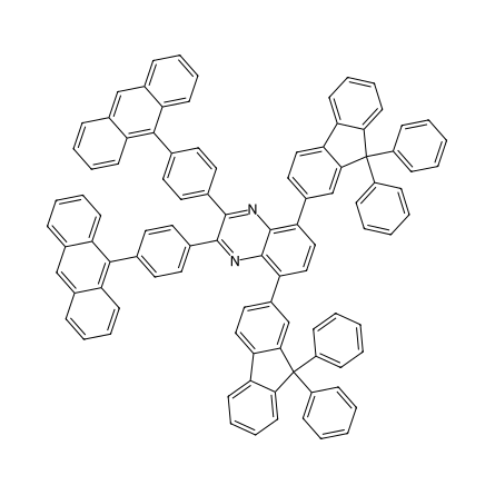 c1ccc(C2(c3ccccc3)c3ccccc3-c3ccc(-c4ccc(-c5ccc6c(c5)C(c5ccccc5)(c5ccccc5)c5ccccc5-6)c5nc(-c6ccc(-c7c8ccccc8cc8ccccc78)cc6)c(-c6ccc(-c7c8ccccc8cc8ccccc78)cc6)nc45)cc32)cc1